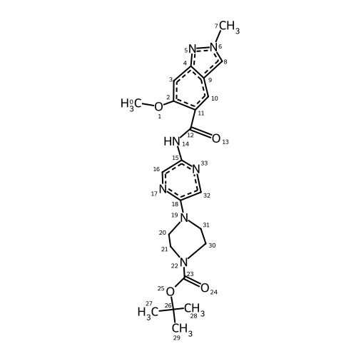 COc1cc2nn(C)cc2cc1C(=O)Nc1cnc(N2CCN(C(=O)OC(C)(C)C)CC2)cn1